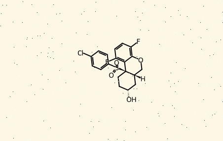 O=S(=O)(c1ccc(Cl)cc1)[C@]12CC[C@@H](O)C[C@H]1COc1c(F)ccc(F)c12